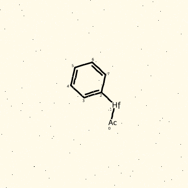 C[C](=O)[Hf][c]1ccccc1